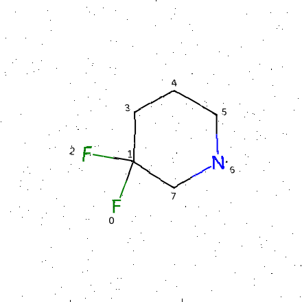 FC1(F)CCC[N]C1